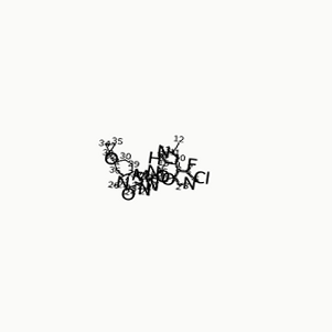 COc1cnc(Cl)c(F)c1-c1cc(C)ncc1C(=O)Nc1nnc(C(=O)N(C)[C@H]2CCC[C@@H](OC3CC3)C2)s1